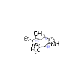 C=C/C=c1/[nH]cc/c1=C/C=C(\C)C(CC)CCC